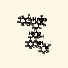 CC(NC(=O)c1cc(C(=O)NC(Cc2ccccc2)C(O)CNCC2CCCN(C)C2)cc(N(C)S(C)(=O)=O)c1)c1ccccc1